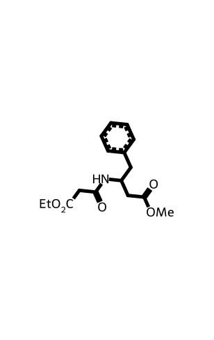 CCOC(=O)CC(=O)NC(CC(=O)OC)Cc1ccccc1